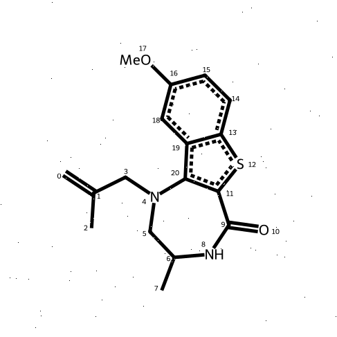 C=C(C)CN1CC(C)NC(=O)c2sc3ccc(OC)cc3c21